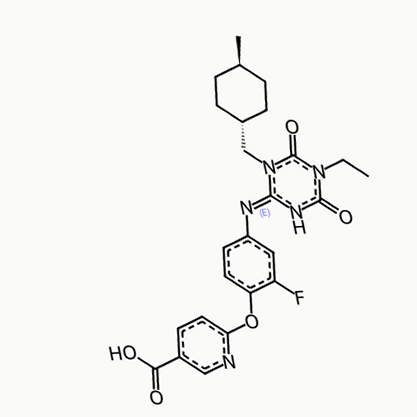 CCn1c(=O)[nH]/c(=N\c2ccc(Oc3ccc(C(=O)O)cn3)c(F)c2)n(C[C@H]2CC[C@H](C)CC2)c1=O